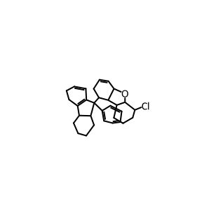 ClC1CCCC2C1OC1C=CCC(C3(c4ccccc4)C4=C(CCC=C4)C4CCCCC43)C12